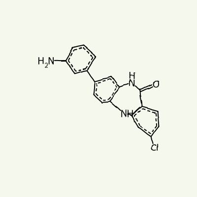 Nc1cccc(-c2ccc3c(c2)NC(=O)c2ccc(Cl)cc2N3)c1